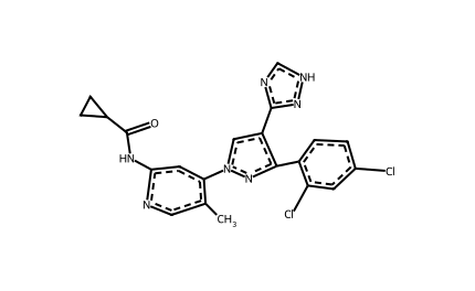 Cc1cnc(NC(=O)C2CC2)cc1-n1cc(-c2nc[nH]n2)c(-c2ccc(Cl)cc2Cl)n1